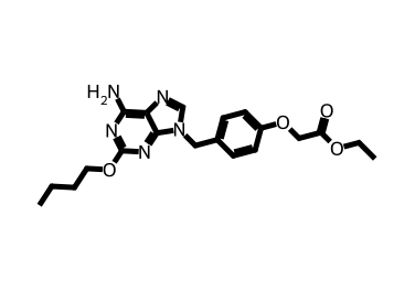 CCCCOc1nc(N)c2ncn(Cc3ccc(OCC(=O)OCC)cc3)c2n1